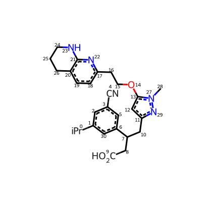 CC(C)c1cc(C#N)cc(C(CC(=O)O)Cc2cc(OCCc3ccc4c(n3)NCCC4)n(C)n2)c1